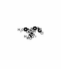 Cc1ccc(Cn2c(=O)n(CC(C)(C)C(=O)O)c(=O)[nH]/c2=N\c2ccc(Oc3ccc(Cl)cn3)cc2)cc1